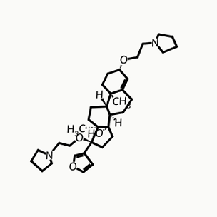 C[C@]12CC[C@H]3[C@@H](CCC4=C[C@@H](OCCN5CCCC5)CC[C@@]43C)[C@@]1(O)CC[C@]2(OCCN1CCCC1)c1ccoc1